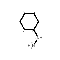 NN[C]1CCCCC1